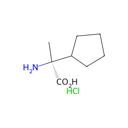 C[C@@](N)(C(=O)O)C1CCCC1.Cl